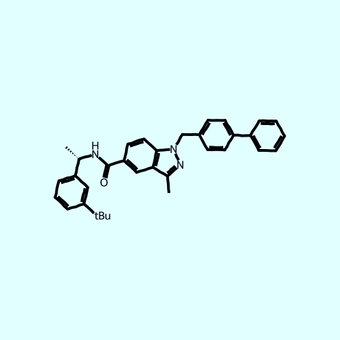 Cc1nn(Cc2ccc(-c3ccccc3)cc2)c2ccc(C(=O)N[C@@H](C)c3cccc(C(C)(C)C)c3)cc12